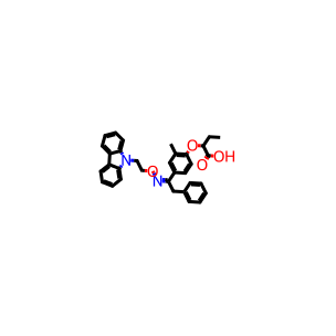 CCC(Oc1ccc(C(Cc2ccccc2)=NOCCn2c3ccccc3c3ccccc32)cc1C)C(=O)O